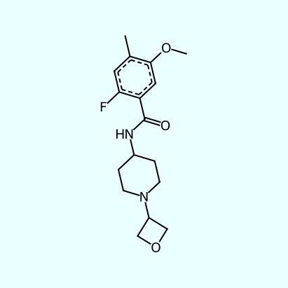 COc1cc(C(=O)NC2CCN(C3COC3)CC2)c(F)cc1C